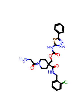 NCC(=O)N1CCC(COC(=O)NC2NN=C(c3ccccc3)S2)(C(=O)NCc2ccccc2Cl)CC1